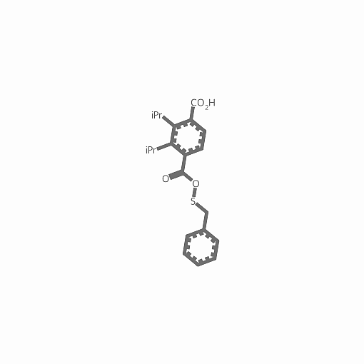 CC(C)c1c(C(=O)O)ccc(C(=O)OSCc2ccccc2)c1C(C)C